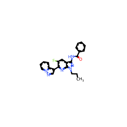 CCCn1nc(NC(=O)c2ccccc2)c2cc(F)c(-c3cnn4ccccc34)nc21